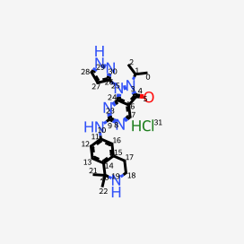 CC(C)n1c(=O)c2cnc(Nc3ccc4c(c3)CCNC4(C)C)nc2n1-c1cc[nH]n1.Cl